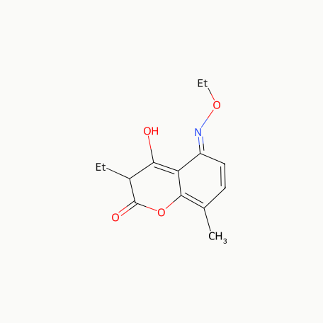 CCON=C1C=CC(C)=C2OC(=O)C(CC)C(O)=C12